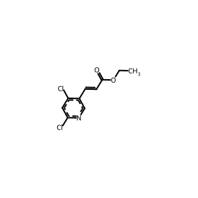 CCOC(=O)/C=C/c1cnc(Cl)cc1Cl